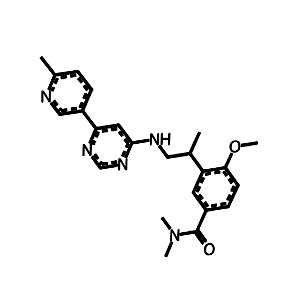 COc1ccc(C(=O)N(C)C)cc1C(C)CNc1cc(-c2ccc(C)nc2)ncn1